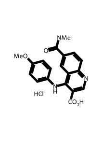 CNC(=O)c1ccc2ncc(C(=O)O)c(Nc3ccc(OC)cc3)c2c1.Cl